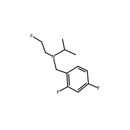 CC(C)N(CCF)Cc1ccc(F)cc1F